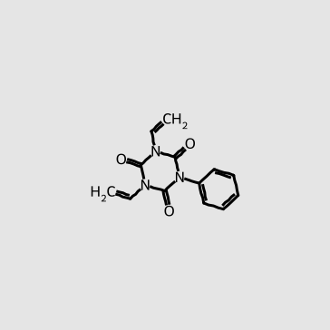 C=Cn1c(=O)n(C=C)c(=O)n(-c2ccccc2)c1=O